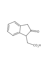 O=C(O)CC1C(=O)Cc2ccccc21